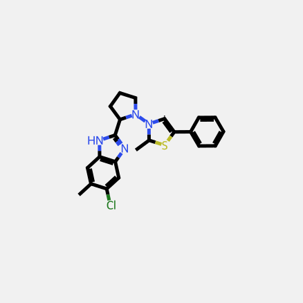 Cc1cc2[nH]c(C3CCCN3N3[C]=C(c4ccccc4)SC3C)nc2cc1Cl